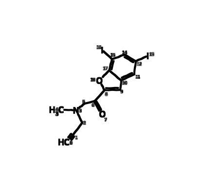 C#CCN(C)CC(=O)c1cc2cc(I)cc(I)c2o1